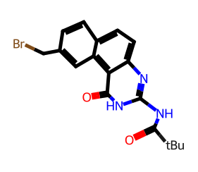 CC(C)(C)C(=O)Nc1nc2ccc3ccc(CBr)cc3c2c(=O)[nH]1